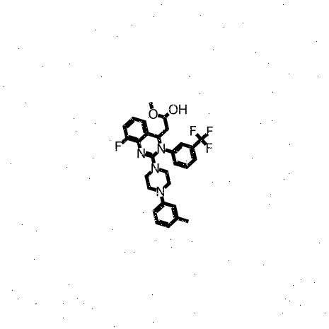 COC(O)CC1c2cccc(F)c2N=C(N2CCN(c3cccc(C)c3)CC2)N1c1cccc(C(F)(F)F)c1